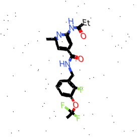 CCC(=O)Nc1cc(C(=O)NCc2cccc(OC(C)(F)F)c2F)cc(C)n1